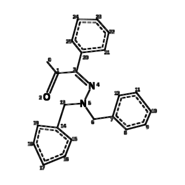 CC(=O)/C(=N\N(Cc1ccccc1)Cc1ccccc1)c1ccccc1